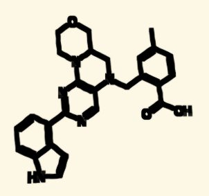 Cc1ccc(C(=O)O)c(CN2CC3COCCN3c3nc(-c4cccc5[nH]ccc45)ncc32)c1